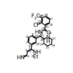 CCN/C(=C\C=N)c1cccc([C@H](NC(=O)c2cccc(C(F)(F)F)c2Cl)[C@@H]2CCCCN2)c1